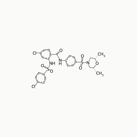 C[C@@H]1CN(S(=O)(=O)c2ccc(NC(=O)c3ccc(Cl)cc3NS(=O)(=O)c3ccc(Cl)cc3)cc2)C[C@H](C)O1